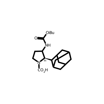 CC(C)COC(=O)NC1CCN(C(=O)O)[C@@H]1C1C2CC3CC(C2)CC1C3